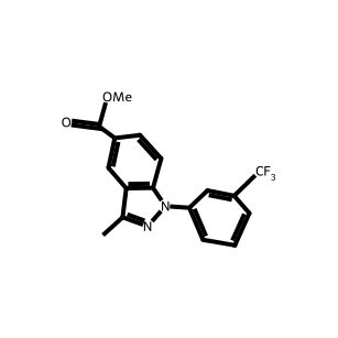 COC(=O)c1ccc2c(c1)c(C)nn2-c1cccc(C(F)(F)F)c1